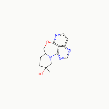 CC1(O)CCC2COc3nccc4ncnc(c34)N2C1